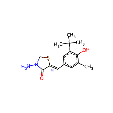 Cc1cc(/C=C2\SCN(N)C2=O)cc(C(C)(C)C)c1O